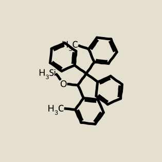 Cc1ccccc1C(O[SiH3])C(c1ccccc1)(c1ccccc1)c1ccccc1C